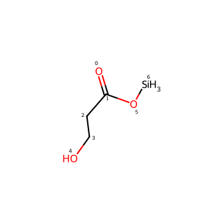 O=C(CCO)O[SiH3]